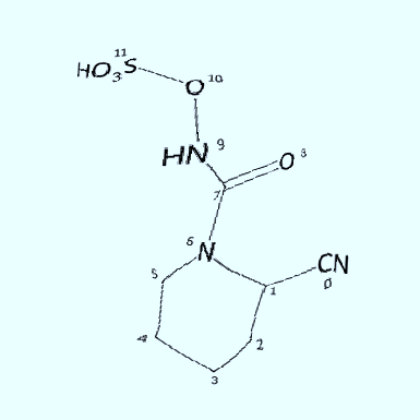 N#CC1CCCCN1C(=O)NOS(=O)(=O)O